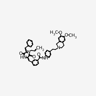 C=CCn1c(=O)c(=Cc2cccc(C(=O)Nc3ccc(CCN4CCc5cc(OC)c(OC)cc5C4)cc3)c2)[nH]c(=O)c1=Cc1ccccc1